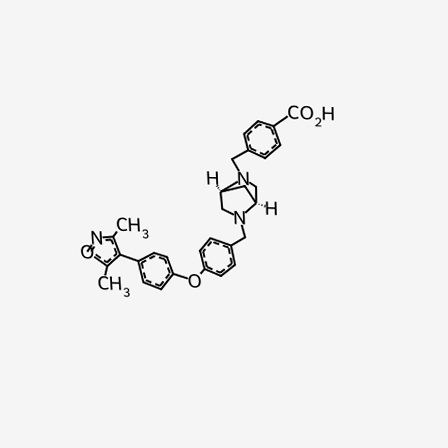 Cc1noc(C)c1-c1ccc(Oc2ccc(CN3C[C@@H]4C[C@H]3CN4Cc3ccc(C(=O)O)cc3)cc2)cc1